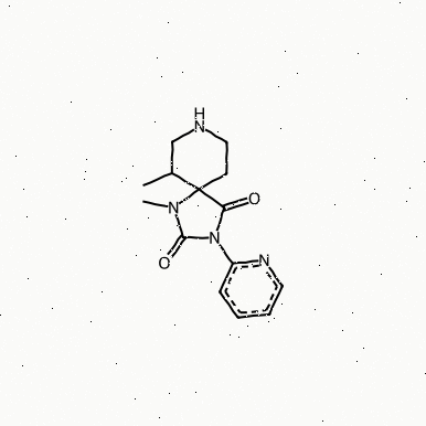 CC1CNCCC12C(=O)N(c1ccccn1)C(=O)N2C